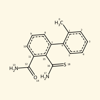 Cc1ccccc1-c1cccc(C(N)=O)c1C(N)=S